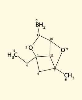 BC1OC2(CC)CC3(C)OC1C32